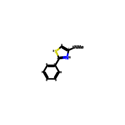 CNc1csc(-c2ccccc2)n1